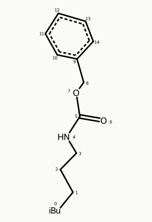 CCC(C)CCCNC(=O)OCc1ccccc1